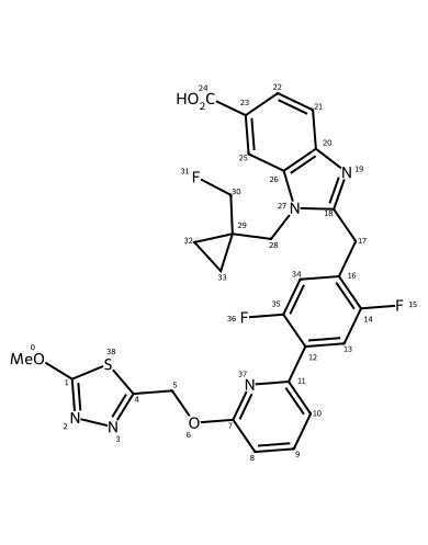 COc1nnc(COc2cccc(-c3cc(F)c(Cc4nc5ccc(C(=O)O)cc5n4CC4(CF)CC4)cc3F)n2)s1